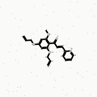 C=CCOc1cc(OC)c(C(=O)/C=C/c2ccccn2)c(OCC=C)c1